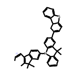 C/C=C\C1=C(C)C(C)(C)c2cc(N3c4ccccc4C(C)(C)c4cc(C5=CC=C6Sc7ccccc7C6C5)ccc43)ccc21